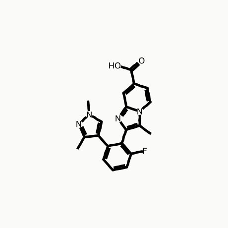 Cc1nn(C)cc1-c1cccc(F)c1-c1nc2cc(C(=O)O)ccn2c1C